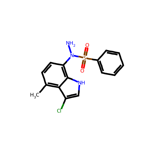 Cc1ccc(N(N)S(=O)(=O)c2ccccc2)c2[nH]cc(Cl)c12